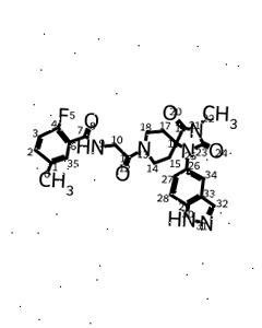 Cc1ccc(F)c(C(=O)NCC(=O)N2CCC3(CC2)C(=O)N(C)C(=O)N3c2ccc3[nH]ncc3c2)c1